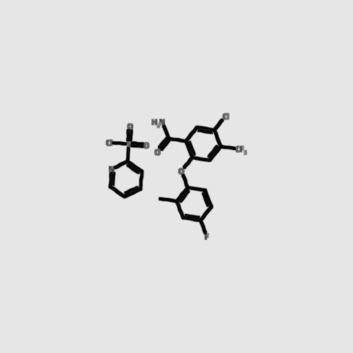 Cc1cc(F)ccc1Oc1cc(C(F)(F)F)c(Cl)cc1C(N)=O.O=S(=O)(Cl)c1ccccn1